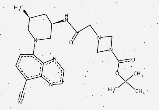 C[C@H]1C[C@@H](NC(=O)CN2CN(C(=O)OC(C)(C)C)C2)CN(c2ccc(C#N)c3nccnc23)C1